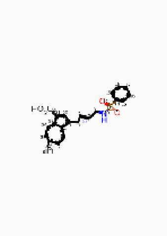 CC(C)c1ccc2c(C/C=C/CNS(=O)(=O)c3ccccc3)cc(C(=O)O)c-2cc1